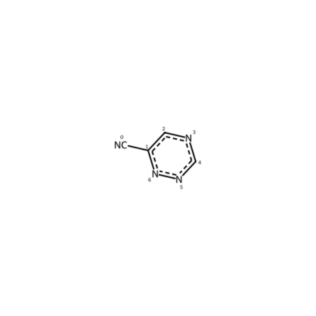 N#Cc1cncnn1